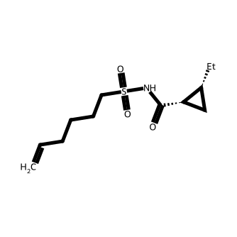 C=CCCCCS(=O)(=O)NC(=O)[C@H]1C[C@H]1CC